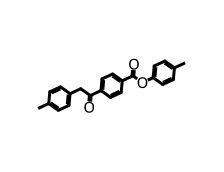 Cc1ccc(CC(=O)c2ccc(C(=O)Oc3ccc(C)cc3)cc2)cc1